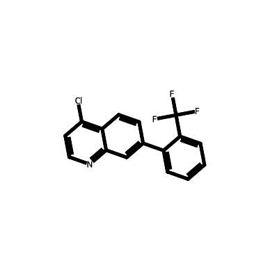 FC(F)(F)c1ccccc1-c1ccc2c(Cl)ccnc2c1